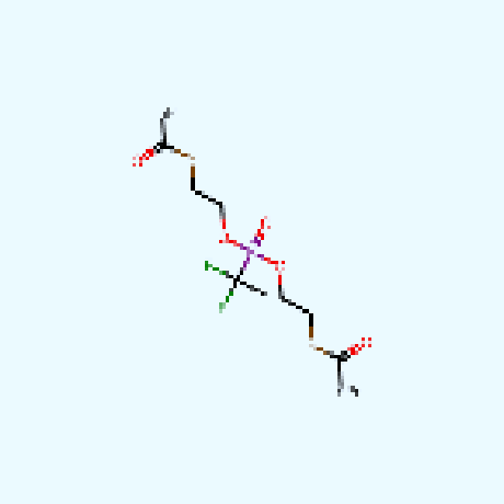 CCCC(=O)SCCOP(=O)(OCCSC(=O)CCC)C(C)(F)F